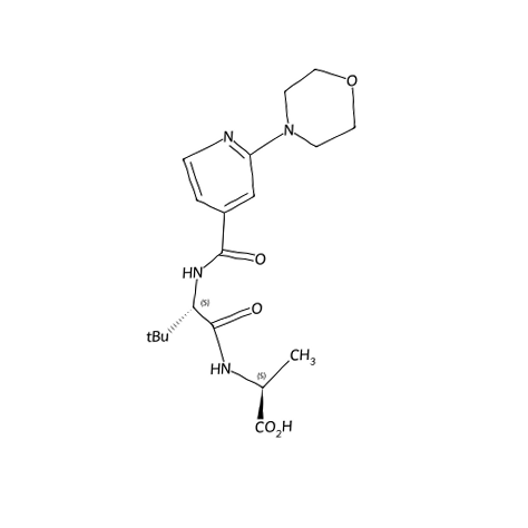 C[C@H](NC(=O)[C@@H](NC(=O)c1ccnc(N2CCOCC2)c1)C(C)(C)C)C(=O)O